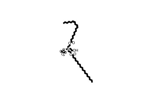 CCCCC/C=C\C/C=C\CCCCCCCC(=O)OCC[N+](C)(CCO)CCOC(=O)CCCCCCCCCCCCCCCCC.COS(=O)(=O)[O-]